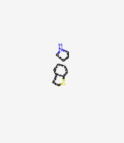 c1cc[nH]c1.c1ccc2sccc2c1